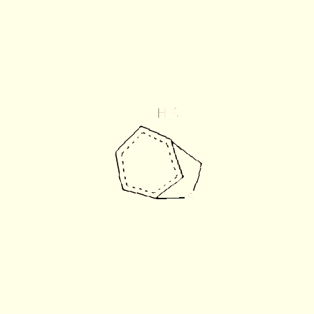 S.c1cc2cc(c1)SC2